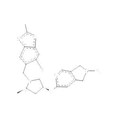 CC(=O)N1Cc2cnc(O[C@H]3C[C@@H](C)N(Cc4cc5nc(C)sc5cc4F)C3)cc2C1